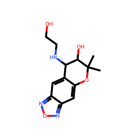 CC1(C)Oc2cc3nonc3cc2C(NCCO)C1O